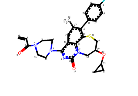 C=CC(=O)N1CCN(c2nc(=O)n3c4c(c(-c5ccc(F)cc5)c(C(F)(F)F)cc24)SCC(OC2CC2)C3)CC1